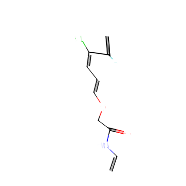 C=CNC(=O)CO/C=C/C=C(/Cl)C(=C)F